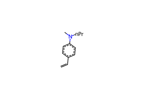 C=Cc1ccc(N(C)CCC)cc1